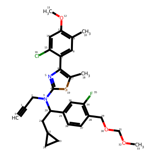 C#CCN(c1nc(-c2cc(C)c(OC)cc2Cl)c(C)s1)C(CC1CC1)c1ccc(COCOC)c(F)c1